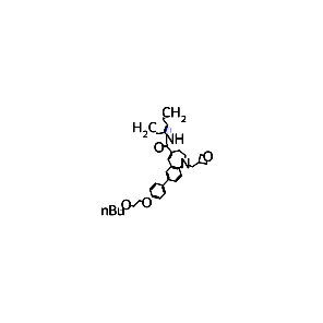 C=C/C=C(\C=C)NC(=O)C1=Cc2cc(-c3ccc(OCCOCCCC)cc3)ccc2N(CC2COC2)CC1